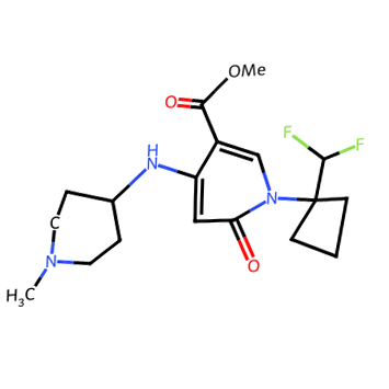 COC(=O)c1cn(C2(C(F)F)CCC2)c(=O)cc1NC1CCN(C)CC1